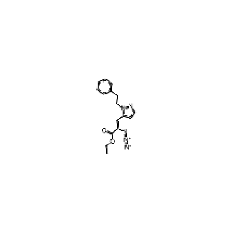 CCOC(=O)/C(=C/c1ccnn1CCc1ccccc1)N=[N+]=[N-]